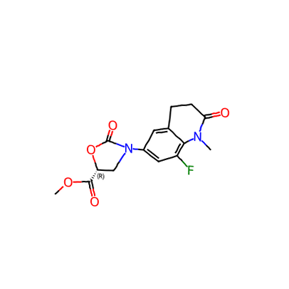 COC(=O)[C@H]1CN(c2cc(F)c3c(c2)CCC(=O)N3C)C(=O)O1